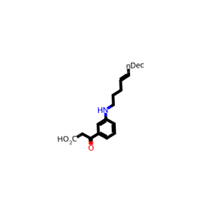 CCCCCCCCCCC=CCCCNc1cccc(C(=O)CC(=O)O)c1